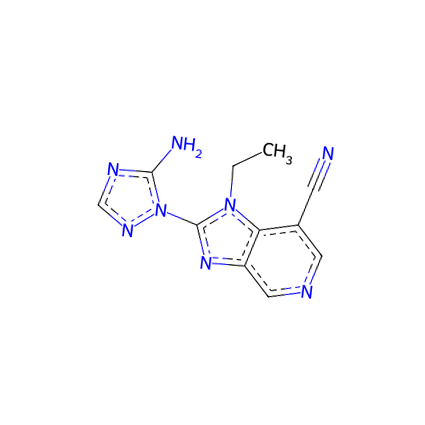 CCn1c(-n2ncnc2N)nc2cncc(C#N)c21